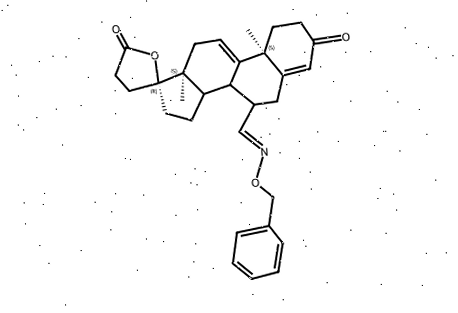 C[C@]12CCC(=O)C=C1CC(C=NOCc1ccccc1)C1C2=CC[C@@]2(C)C1CC[C@@]21CCC(=O)O1